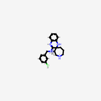 CC1CNCCCC12Nc1ccccc1N=C2NCc1cccc(Cl)c1